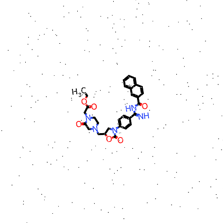 CCOC(=O)CN1CCN(CC2CN(c3ccc(C(=N)NC(=O)c4ccc5ccccc5c4)cc3)C(=O)O2)CC1=O